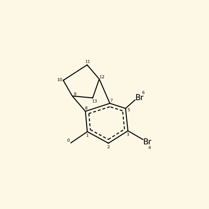 Cc1cc(Br)c(Br)c2c1C1CCC2C1